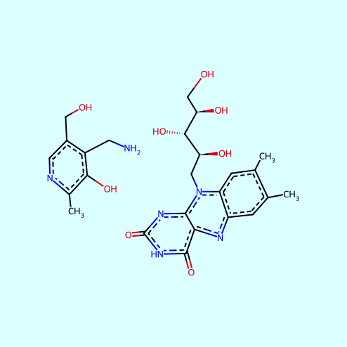 Cc1cc2nc3c(=O)[nH]c(=O)nc-3n(C[C@H](O)[C@H](O)[C@H](O)CO)c2cc1C.Cc1ncc(CO)c(CN)c1O